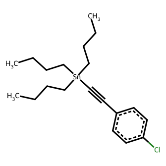 CCC[CH2][Sn]([C]#Cc1ccc(Cl)cc1)([CH2]CCC)[CH2]CCC